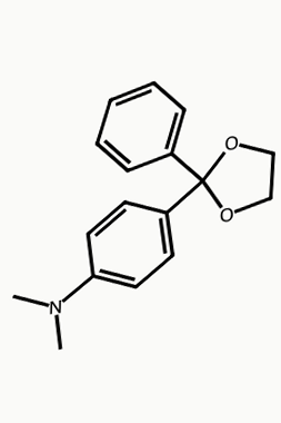 CN(C)c1ccc(C2(c3ccccc3)OCCO2)cc1